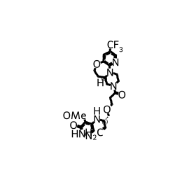 C=C[C@@H](COCCC(=O)N1CCN2c3ncc(C(F)(F)F)cc3OCC[C@H]2C1)Nc1cn[nH]c(=O)c1OC